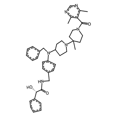 Cc1ncnc(C)c1C(=O)N1CCC(C)(N2CCC(N(Cc3ccccc3)c3ccc(CNC(=O)[C@@H](O)c4ccccc4)cc3)CC2)CC1